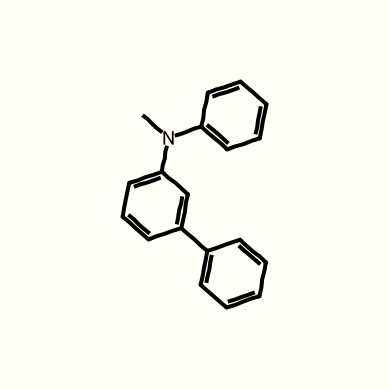 CN(c1ccccc1)c1cccc(-c2ccccc2)c1